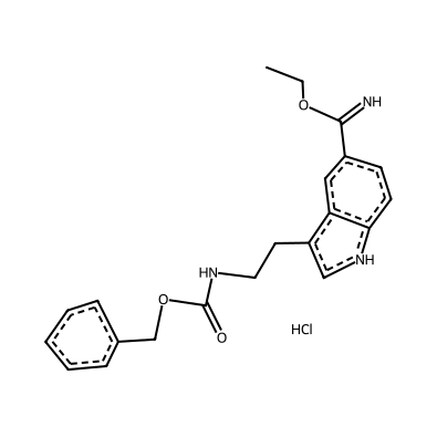 CCOC(=N)c1ccc2[nH]cc(CCNC(=O)OCc3ccccc3)c2c1.Cl